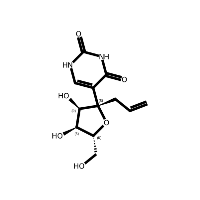 C=CC[C@@]1(c2c[nH]c(=O)[nH]c2=O)O[C@H](CO)[C@@H](O)[C@H]1O